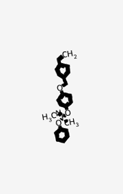 C=Cc1ccc(COc2ccc(OP(C)(=NC)Oc3ccccc3)cc2)cc1